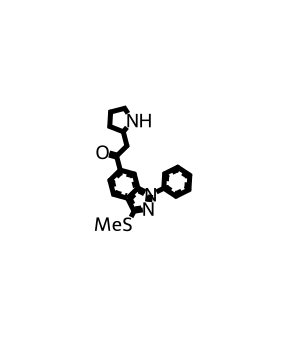 CSc1nn(-c2ccccc2)c2cc(C(=O)CC3CCCN3)ccc12